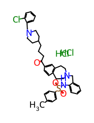 Cc1ccc(S(=O)(=O)Nc2ccccc2CN2CCc3ccc(C(=O)CCCC4CCN(Cc5ccccc5Cl)CC4)cc3CC2)cc1.Cl.Cl